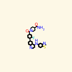 NC(=O)C1CCN(C(=O)c2ccc(-c3ccc4nccc(Nc5ccc6scnc6c5)c4c3)c(F)c2)CC1